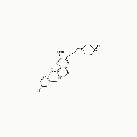 COc1cc2c(Nc3ccc(Cl)cc3F)ncnc2cc1OCCN1CCS(=O)(=O)CC1